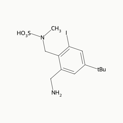 CN(Cc1c(I)cc(C(C)(C)C)cc1CN)S(=O)(=O)O